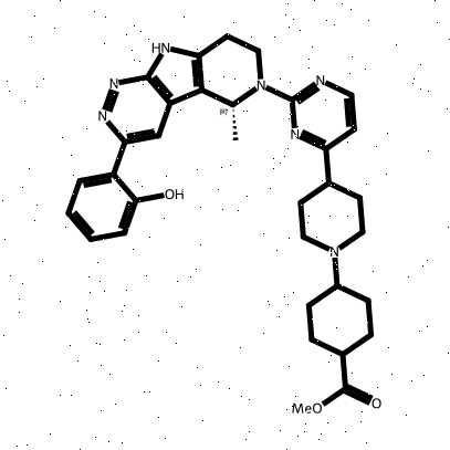 COC(=O)C1CCC(N2CCC(c3ccnc(N4CCc5[nH]c6nnc(-c7ccccc7O)cc6c5[C@H]4C)n3)CC2)CC1